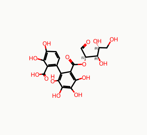 O=C[C@@H](OC(=O)c1c(O)c(O)c(O)c(O)c1-c1ccc(O)c(O)c1C(=O)O)[C@H](O)[C@H](O)CO